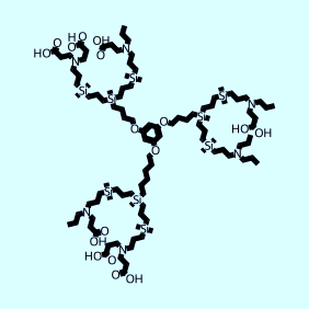 CCCN(CCC)CCC[Si](C)(C)CCC[Si](C)(CCCCOc1cc(OCCCCCC[Si](C)(CCC[Si](C)(C)CCCN(CCC)CCC(=O)O)CCC[Si](C)(C)CCCN(CCC(=O)O)CCC(=O)O)cc(OCCCC[Si](C)(CCC[Si](C)(C)CCCN(CCC)CCC(=O)O)CCC[Si](C)(C)CCCN(CCC(=O)O)CCC(=O)O)c1)CCC[Si](C)(C)CCCN(CCC)CCC(O)O